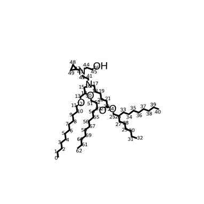 CCCCCCCCCCCCOCC(CN(CCCCCC(=O)OCC(CCCCCC)CCCCCCCC)CCN(CCO)C1CC1)OCCCCCCCCCCCC